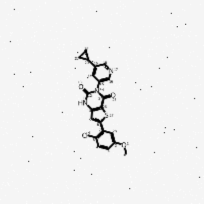 COc1ccc(Cl)c(-c2cc3[nH]c(=O)n(-c4cncc(C5CC5)c4)c(=O)c3s2)c1